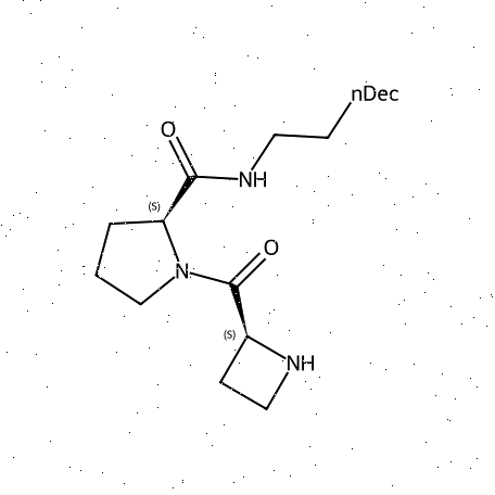 CCCCCCCCCCCCNC(=O)[C@@H]1CCCN1C(=O)[C@@H]1CCN1